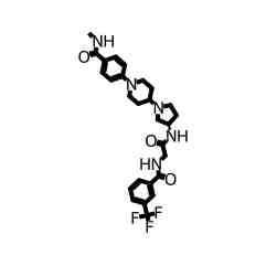 CNC(=O)c1ccc(N2CCC(N3CC[C@@H](NC(=O)CNC(=O)c4cccc(C(F)(F)F)c4)C3)CC2)cc1